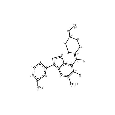 CCOC(=O)c1cc2c(-c3ccnc(NC)c3)ccn2c(C(C)=C2CCN(CC(F)(F)F)CC2)c1C